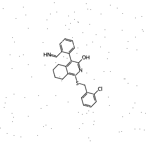 N=Cc1ccccc1-c1c(O)nc(SCc2ccccc2Cl)c2c1CCCC2